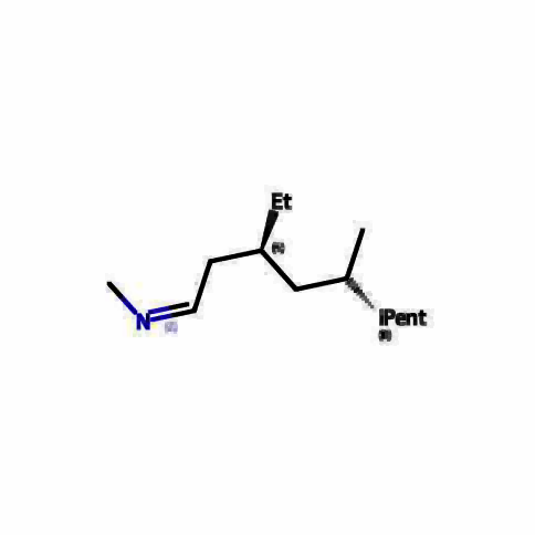 CCC[C@@H](C)C(C)C[C@H](CC)C/C=N\C